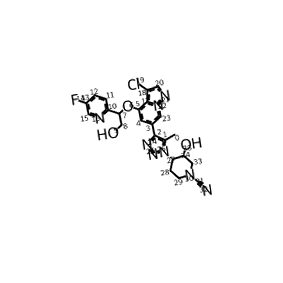 Cc1c(-c2cc(OC(CO)c3ccc(F)cn3)c3c(Cl)cnn3c2)nnn1[C@H]1CCN(C#N)C[C@@H]1O